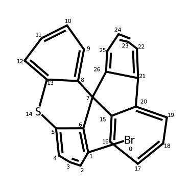 Brc1cccc2c1C1(c3ccccc3S2)c2ccccc2-c2ccccc21